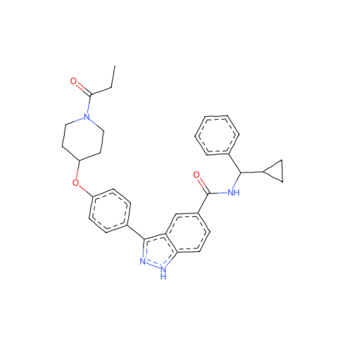 CCC(=O)N1CCC(Oc2ccc(-c3n[nH]c4ccc(C(=O)NC(c5ccccc5)C5CC5)cc34)cc2)CC1